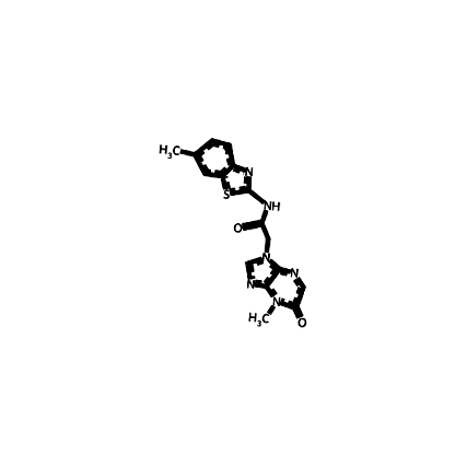 Cc1ccc2nc(NC(=O)Cn3cnc4c3ncc(=O)n4C)sc2c1